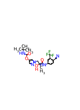 CC(C)(C)NC(=O)Oc1cnn(C[C@](C)(O)C(=O)Nc2ccc(C#N)c(C(F)(F)F)c2)c1